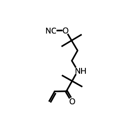 C=CC(=O)C(C)(C)NCCC(C)(C)OC#N